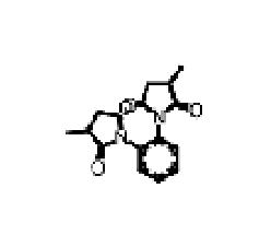 CC1CC(=O)N(c2ccccc2N2C(=O)CC(C)C2=O)C1=O